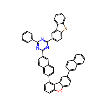 c1ccc(-c2nc(-c3ccc4cc(-c5cccc6oc7ccc(-c8ccc9ccccc9c8)cc7c56)ccc4c3)nc(-c3ccc4sc5ccccc5c4c3)n2)cc1